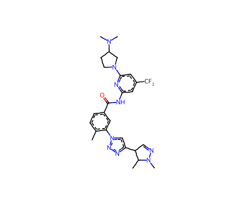 Cc1ccc(C(=O)Nc2cc(C(F)(F)F)cc(N3CCC(N(C)C)C3)n2)cc1-n1cc(C2C=NN(C)C2C)nn1